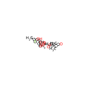 C=C1C=CC2(C)C(=C1)CCC1C3CC(C)C(O)(C(=O)COC(=O)CCC(=O)OC4CCC5C6C(C)CC7=CC(=O)CCC7(C)C6CCC45C)C3(C)CC(O)C12F